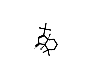 CC(C)(C)C1=CC(=O)[C@H]2C(C)(C)CCC[C@@]12C